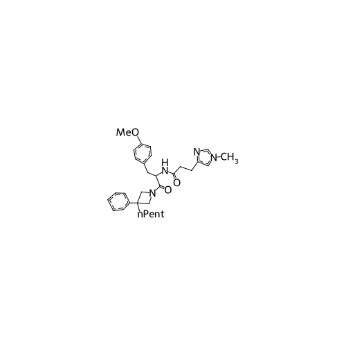 CCCCCC1(c2ccccc2)CN(C(=O)C(Cc2ccc(OC)cc2)NC(=O)CCc2cn(C)cn2)C1